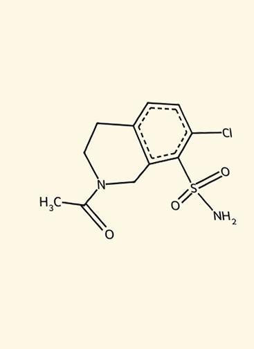 CC(=O)N1CCc2ccc(Cl)c(S(N)(=O)=O)c2C1